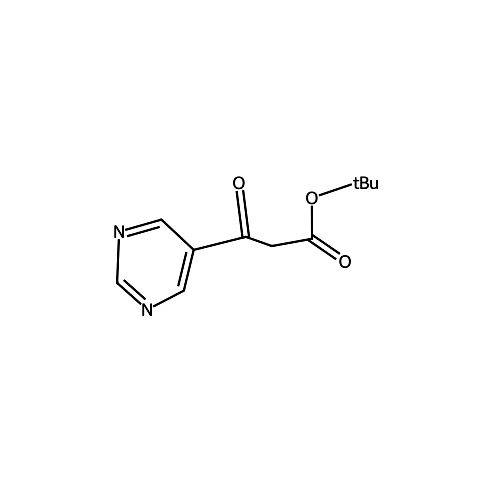 CC(C)(C)OC(=O)CC(=O)c1cncnc1